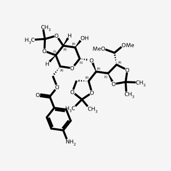 COC(OC)[C@@H]1OC(C)(C)O[C@H]1[C@H](O[C@@H]1O[C@H](COC(=O)c2ccc(N)cc2)[C@@H]2OC(C)(C)O[C@@H]2[C@H]1O)[C@H]1COC(C)(C)O1